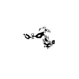 CN1CCC(N(C)C(=O)c2ccc(Nc3ncc(C(F)(F)F)c(NC4CCC4)n3)cc2)CC1.O=C(O)O